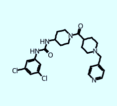 O=C(Nc1cc(Cl)cc(Cl)c1)NC1CCN(C(=O)C2CCN(Cc3ccncc3)CC2)CC1